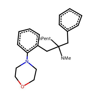 CCCCCC(Cc1ccccc1)(Cc1ccccc1N1CCOCC1)NC